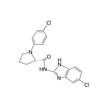 O=C(Nc1nc2cc(Cl)ccc2[nH]1)[C@@H]1CCCN1c1ccc(Cl)cc1